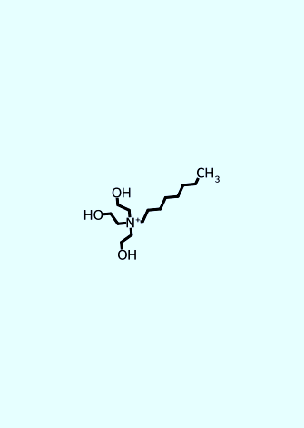 CCCCCCCC[N+](CCO)(CCO)CCO